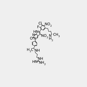 C[C@H](N)CCCc1cc(-c2[nH]c3nc(=O)n(-c4ccc([C@H](C)NCCCNC(=N)N)cc4)cc3c2[N+](=O)[O-])c(F)c(Cl)c1[N+](=O)[O-]